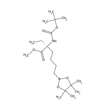 CC[C@@](CCCCB1OC(C)(C)C(C)(C)O1)(NC(=O)OC(C)(C)C)C(=O)OC